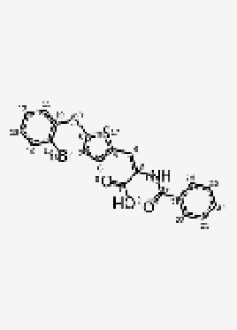 O=C(O)/C(=C\c1ccc(Sc2ccccc2Br)s1)NC(=O)c1ccccc1